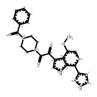 COc1cnc(-c2nn[nH]n2)c2[nH]cc(C(=O)C(=O)N3CCN(C(=O)c4ccccc4)CC3)c12